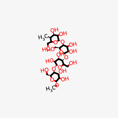 CO[C@@H]1O[C@@H](CO)[C@@H](O[C@@H]2OC(CO)[C@@H](O[C@@H]3O[C@@H](CO)[C@@H](O[C@@H]4OC(CO)[C@@H](C)[C@@H](O)C4O)C(O)C3O)[C@@H](O)C2O)C(O)C1O